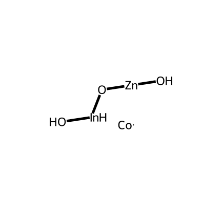 [Co].[OH][Zn][O][InH][OH]